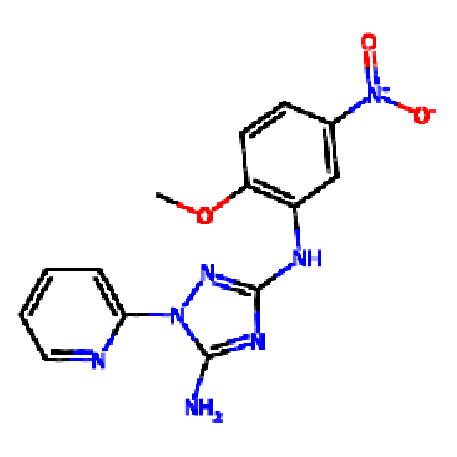 COc1ccc([N+](=O)[O-])cc1Nc1nc(N)n(-c2ccccn2)n1